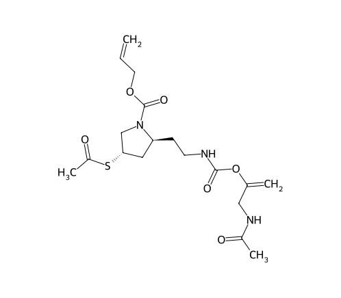 C=CCOC(=O)N1C[C@@H](SC(C)=O)C[C@@H]1CCNC(=O)OC(=C)CNC(C)=O